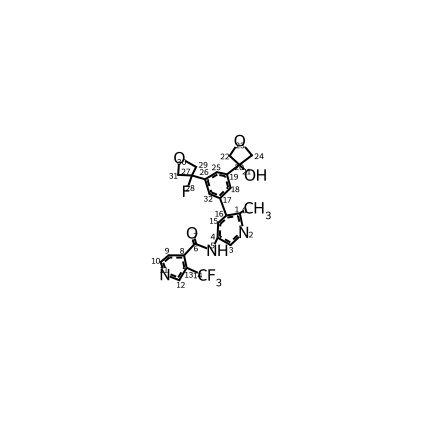 Cc1ncc(NC(=O)c2ccncc2C(F)(F)F)cc1-c1cc(C2(O)COC2)cc(C2(F)COC2)c1